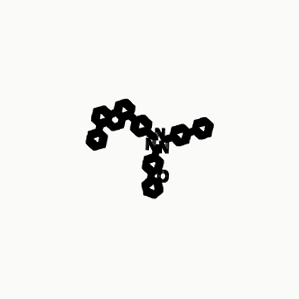 c1ccc(-c2ccc(-c3nc(-c4ccc(-c5cccc6c5CCc5c(-c7ccccc7)cccc5-6)cc4)nc(-c4ccc5c(c4)oc4ccccc45)n3)cc2)cc1